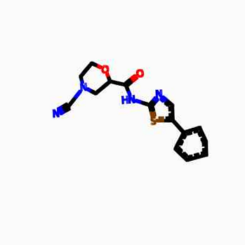 N#CN1CCOC(C(=O)Nc2ncc(-c3ccccc3)s2)C1